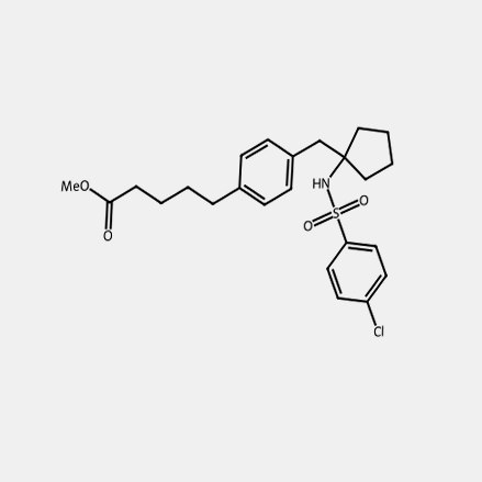 COC(=O)CCCCc1ccc(CC2(NS(=O)(=O)c3ccc(Cl)cc3)CCCC2)cc1